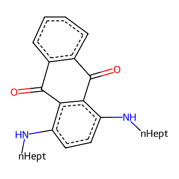 CCCCCCCNc1ccc(NCCCCCCC)c2c1C(=O)c1ccccc1C2=O